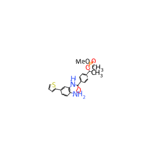 COP(C)(=O)OC(C)c1ccc(C(=O)Nc2cc(-c3cccs3)ccc2N)cc1